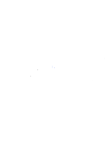 N#CC1(Cc2ccc(F)cc2)CCN(CC(=O)Oc2ccc(Cl)cc2/C=C/C(=O)O)CC1